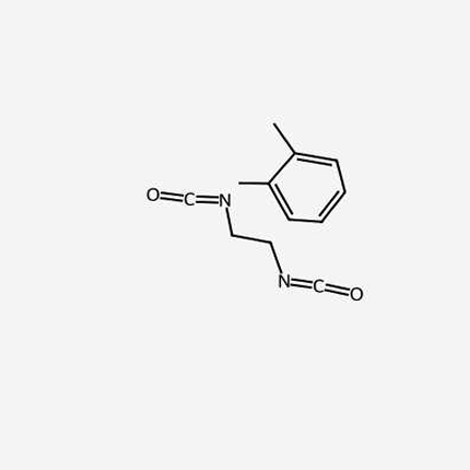 Cc1ccccc1C.O=C=NCCN=C=O